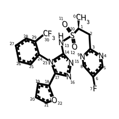 C[C@@H](Cc1ncc(F)cn1)S(=O)(=O)Nc1nnc(-c2ccco2)n1-c1ccccc1C(F)(F)F